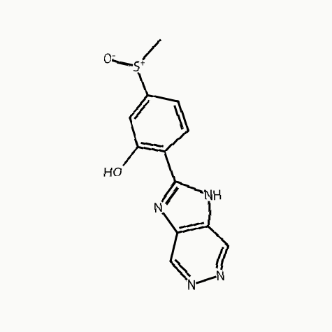 C[S+]([O-])c1ccc(-c2nc3cnncc3[nH]2)c(O)c1